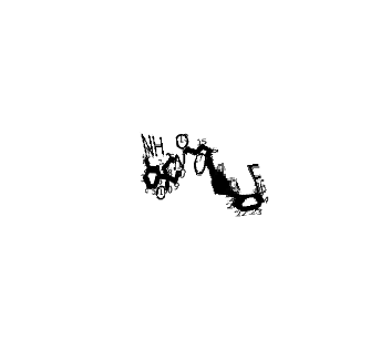 NCc1ccc2c(c1)C1(CCN(C(=O)c3ccc(C#Cc4ccccc4F)o3)CC1)CO2